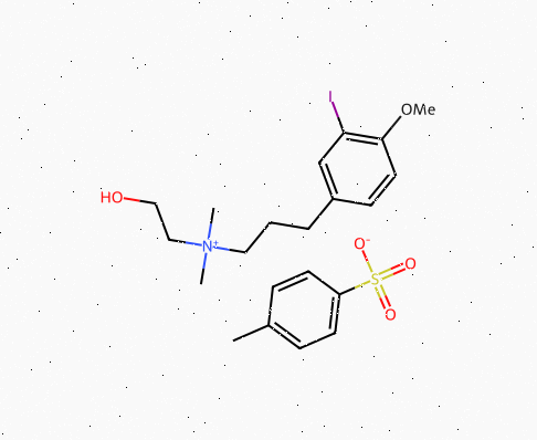 COc1ccc(CCC[N+](C)(C)CCO)cc1I.Cc1ccc(S(=O)(=O)[O-])cc1